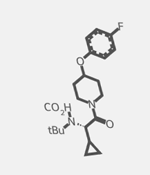 CC(C)(C)N(C(=O)O)[C@H](C(=O)N1CCC(Oc2ccc(F)cc2)CC1)C1CC1